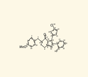 COc1ccc(CN2CCn3nc(-c4ccncc4F)c(-c4ccc(Cl)s4)c3C2=O)cc1